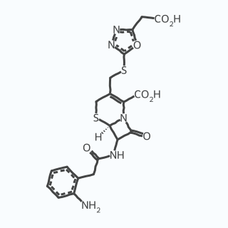 Nc1ccccc1CC(=O)NC1C(=O)N2C(C(=O)O)=C(CSc3nnc(CC(=O)O)o3)CS[C@H]12